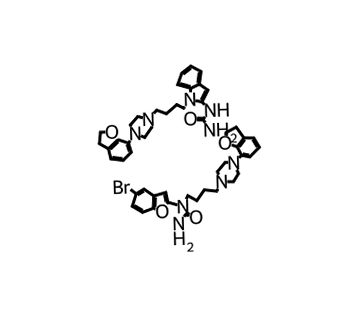 NC(=O)N(CCCCN1CCN(c2cccc3c2OCC3)CC1)c1cc2cc(Br)ccc2o1.NC(=O)Nc1cc2ccccc2n1CCCCN1CCN(c2cccc3c2OCC3)CC1